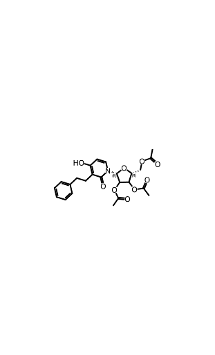 CC(=O)OC[C@H]1O[C@@H](n2ccc(O)c(CCc3ccccc3)c2=O)C(OC(C)=O)C1OC(C)=O